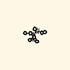 c1ccc(-c2ccc3c(c2)c2c4c5ccccc5n5c6ccccc6c(cc2n3-c2nc(-c3ccc6ccccc6c3)nc3ccccc23)c45)cc1